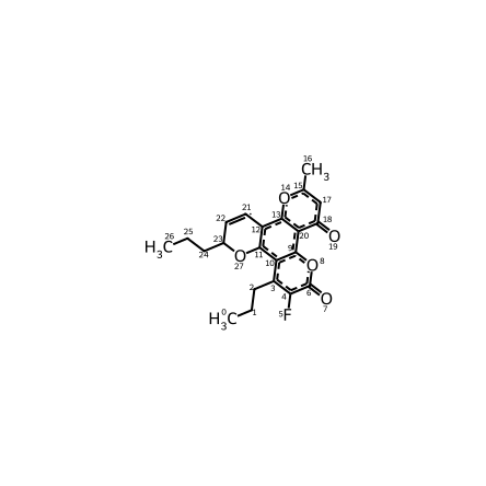 CCCc1c(F)c(=O)oc2c1c1c(c3oc(C)cc(=O)c32)[C]=CC(CCC)O1